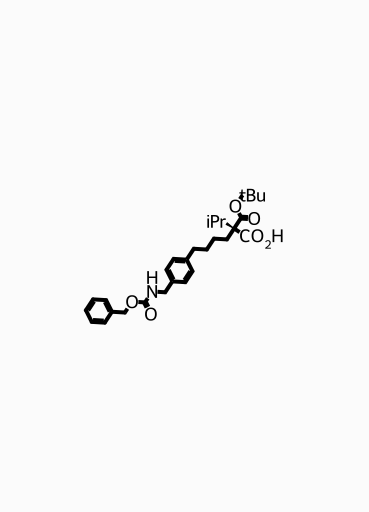 CC(C)[C@](CCCCc1ccc(CNC(=O)OCc2ccccc2)cc1)(C(=O)O)C(=O)OC(C)(C)C